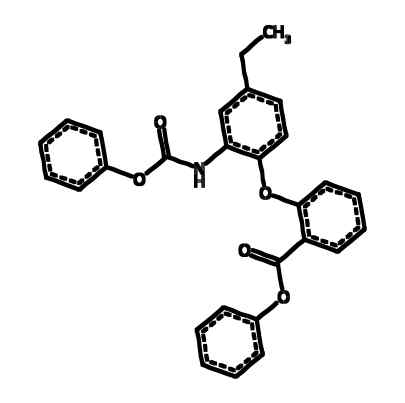 CCc1ccc(Oc2ccccc2C(=O)Oc2ccccc2)c(NC(=O)Oc2ccccc2)c1